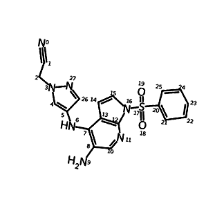 N#CCn1cc(Nc2c(N)cnc3c2ccn3S(=O)(=O)c2ccccc2)cn1